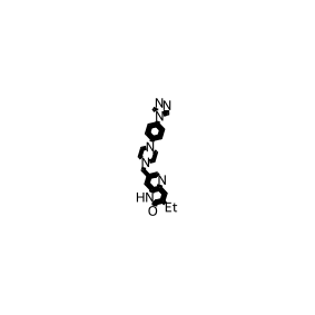 CCc1cc2ncc(CN3CCN(c4ccc(-n5cnnc5)cc4)CC3)cc2[nH]c1=O